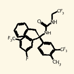 Cc1ccc([C@@](Cc2ccccc2)(NC(=O)NCC(F)(F)F)c2cc(F)cc(C(F)(F)F)c2)cc1C(F)(F)F